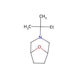 CCC(C)(C)N1CC2CCC(C1)O2